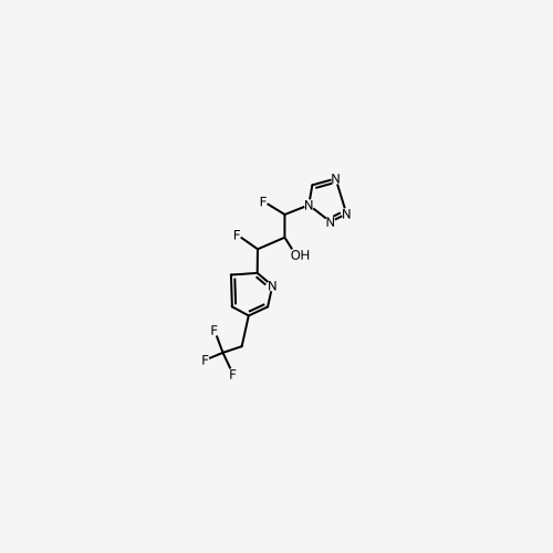 OC(C(F)c1ccc(CC(F)(F)F)cn1)C(F)n1cnnn1